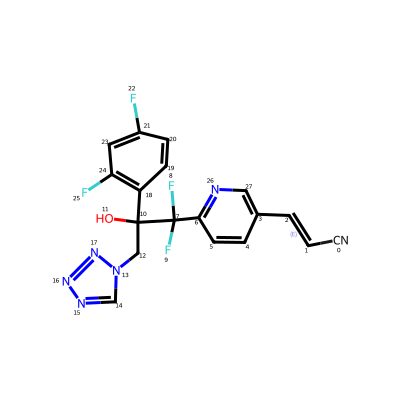 N#C/C=C/c1ccc(C(F)(F)C(O)(Cn2cnnn2)c2ccc(F)cc2F)nc1